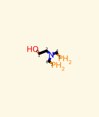 OCCN(CP)CP